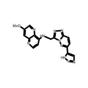 COc1cnc2c(NCc3nnc4ccc(-c5cnn[nH]5)nn34)ccnc2c1